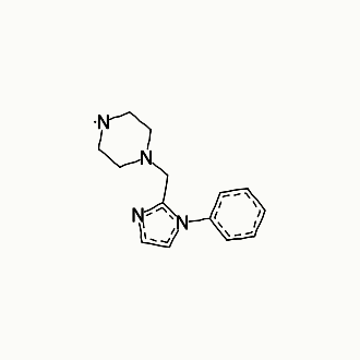 c1ccc(-n2ccnc2CN2CC[N]CC2)cc1